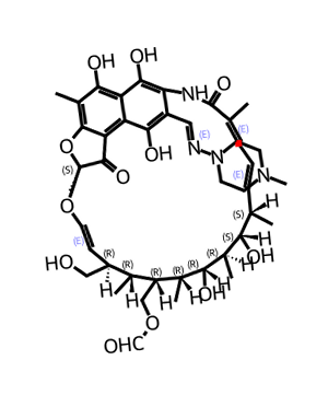 C/C1=C\C=C\[C@H](C)[C@H](O)[C@@H](C)[C@H](O)[C@H](C)[C@H](COC=O)[C@H](C)[C@@H](CO)/C=C/O[C@@]2(C)Oc3c(C)c(O)c4c(O)c(c(/C=N/N5CCN(C)CC5)c(O)c4c3C2=O)NC1=O